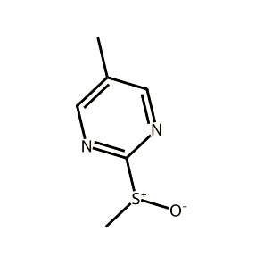 Cc1cnc([S+](C)[O-])nc1